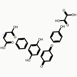 O=C(O)/C=C\C(=O)O.O=C(O)C(=O)O.O=C1C=CC(=O)C=C1.Oc1ccc(O)cc1.Oc1ccccc1.c1ccccc1